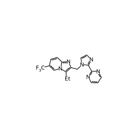 CCc1c(Cn2ccnc2-c2ncccn2)nc2ccc(C(F)(F)F)cn12